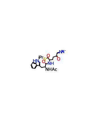 CC(=O)NC(Cc1c[nH]c2ccccc12)C(=O)NC(CCC(=O)C=[N+]=[N-])C(=O)SC(C)C